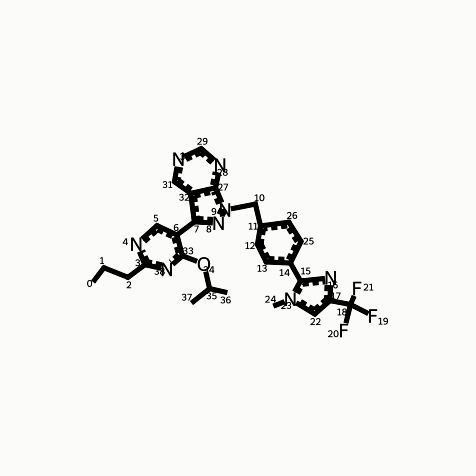 CCCc1ncc(-c2nn(Cc3ccc(-c4nc(C(F)(F)F)cn4C)cc3)c3ncncc23)c(OC(C)C)n1